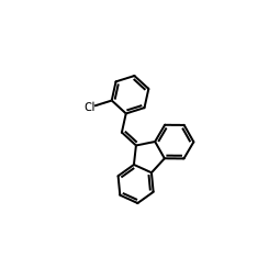 Clc1ccccc1C=C1c2ccccc2-c2ccccc21